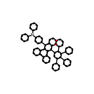 c1ccc(-c2cc(-c3c4ccccc4c(-c4ccc(N(c5ccccc5)c5ccccc5)cc4)c4c5ccccc5c5ccccc5c34)c(-c3ccccc3)c(-c3ccccc3)c2-c2ccccc2)cc1